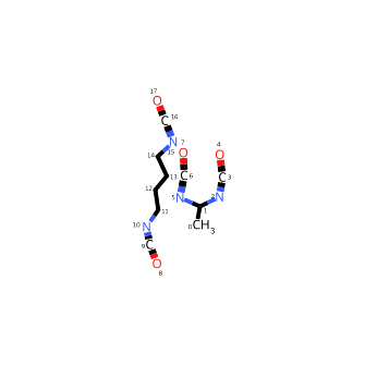 CC(N=C=O)N=C=O.O=C=NCCCCN=C=O